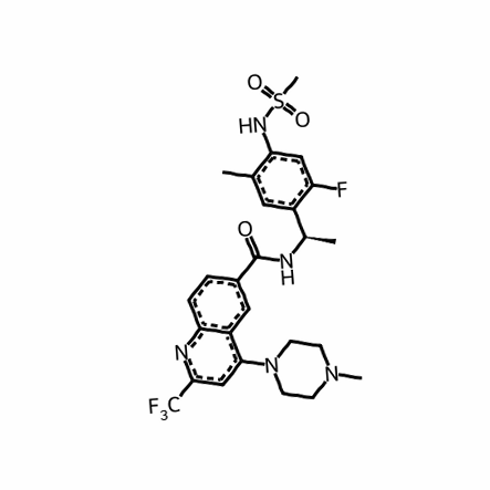 Cc1cc([C@@H](C)NC(=O)c2ccc3nc(C(F)(F)F)cc(N4CCN(C)CC4)c3c2)c(F)cc1NS(C)(=O)=O